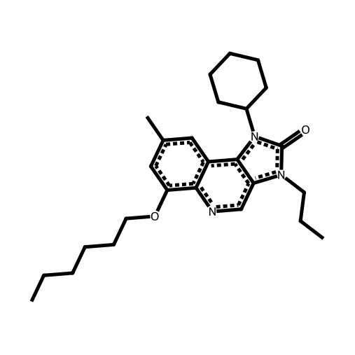 CCCCCCOc1cc(C)cc2c1ncc1c2n(C2CCCCC2)c(=O)n1CCC